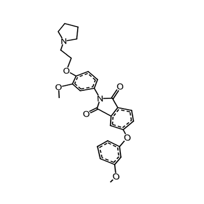 COc1cccc(Oc2ccc3c(c2)C(=O)N(c2ccc(OCCN4CCCC4)c(OC)c2)C3=O)c1